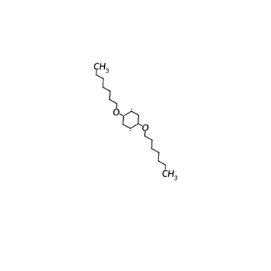 CCCCCCCOC1[CH]CC(OCCCCCCC)[CH]C1